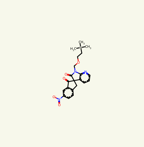 C[Si](C)(C)CCOCN1C(=O)C2(Cc3ccc([N+](=O)[O-])cc3C2=O)c2cccnc21